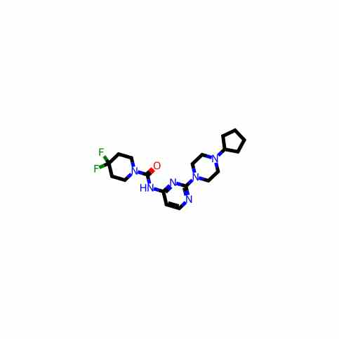 O=C(Nc1ccnc(N2CCN(C3CCCC3)CC2)n1)N1CCC(F)(F)CC1